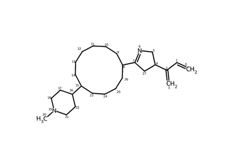 C=CC(=C)C1CN=C(C2CCCCCCC(C3CCN(C)CC3)CCCC2)C1